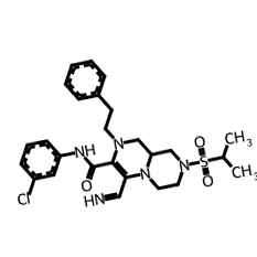 CC(C)S(=O)(=O)N1CCN2C(C=N)=C(C(=O)Nc3cccc(Cl)c3)N(CCc3ccccc3)CC2C1